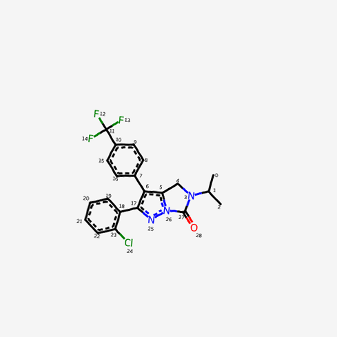 CC(C)N1Cc2c(-c3ccc(C(F)(F)F)cc3)c(-c3ccccc3Cl)nn2C1=O